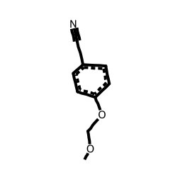 COCOc1ccc(C#N)cc1